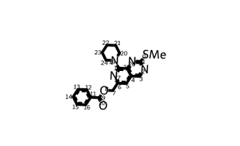 CSc1ncc2cc(COC(=O)c3ccccc3)nc(N3CCCCC3)c2n1